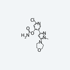 Cn1nc(-c2cnc(Cl)cc2OC(N)=O)cc1N1CCOCC1